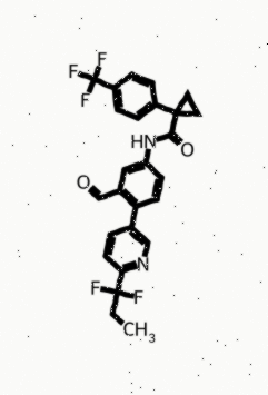 CCC(F)(F)c1ccc(-c2ccc(NC(=O)C3(c4ccc(C(F)(F)F)cc4)CC3)cc2C=O)cn1